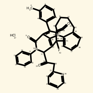 Cc1cccc(C2=C3C(=O)N(c4ccccc4)C(C(=O)Cc4ccccn4)C(=C3N3CCCCc4ccccc43)C(F)(F)C2=C=O)c1.Cl